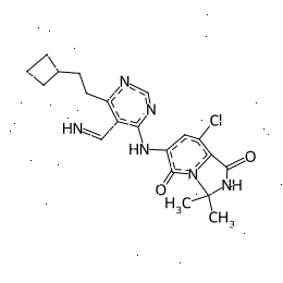 CC1(C)NC(=O)c2c(Cl)cc(Nc3ncnc(CCC4CCC4)c3C=N)c(=O)n21